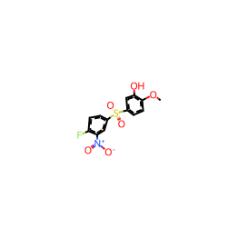 COc1ccc(S(=O)(=O)c2ccc(F)c([N+](=O)[O-])c2)cc1O